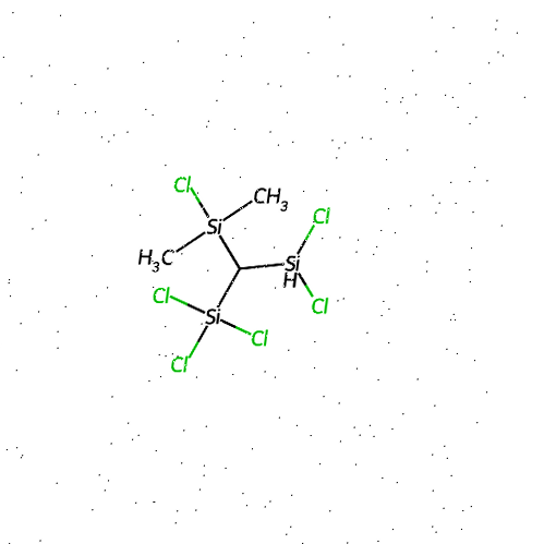 C[Si](C)(Cl)C([SiH](Cl)Cl)[Si](Cl)(Cl)Cl